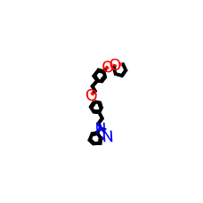 c1ccc2c(c1)ncn2CCc1ccc(OCCc2ccc(OC3CCCCO3)cc2)cc1